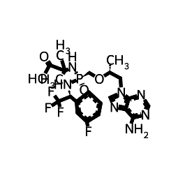 C[C@H](Cn1cnc2c(N)ncnc21)OC[P@@](=O)(N[C@H](c1cccc(F)c1)C(F)(F)F)NC(C)(C)C(=O)O